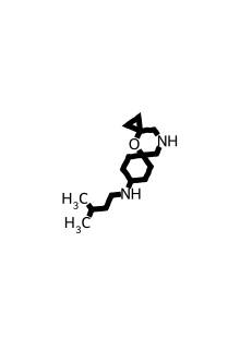 CC(C)CCNC1CCC2(CC1)CNCC1(CC1)O2